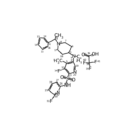 Cc1c(N(C)C2CCN(C(C)c3ccccc3)CC2)cnc(S(=O)(=O)Nc2cccc(F)n2)c1F.O=C(O)C(F)(F)F